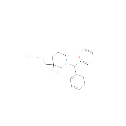 COCC1(C)CCCN(C(C2=CC=CCC2)C2=COC=CO2)C1